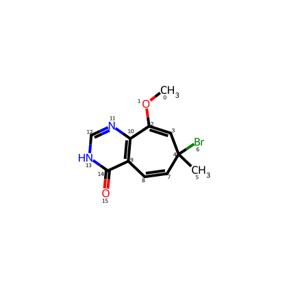 COC1=CC(C)(Br)C=Cc2c1nc[nH]c2=O